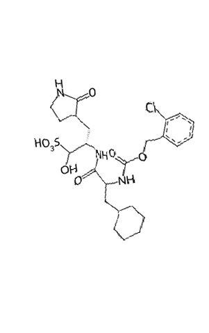 O=C(NC(CC1CCCCC1)C(=O)N[C@@H](CC1CCNC1=O)C(O)S(=O)(=O)O)OCc1ccccc1Cl